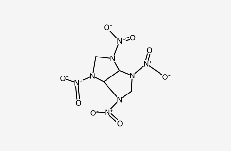 O=[N+]([O-])N1CN([N+](=O)[O-])C2C1N([N+](=O)[O-])CN2[N+](=O)[O-]